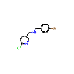 Clc1ccc(CNCc2ccc(Br)cc2)cn1